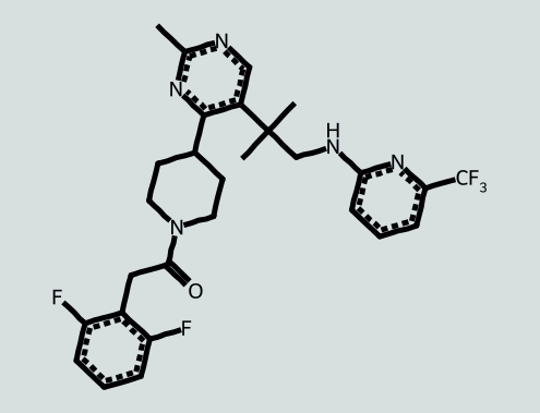 Cc1ncc(C(C)(C)CNc2cccc(C(F)(F)F)n2)c(C2CCN(C(=O)Cc3c(F)cccc3F)CC2)n1